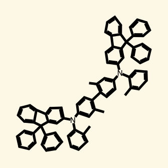 Cc1cc(N(c2ccc3c(c2)C(c2ccccc2)(c2ccccc2)c2ccccc2-3)c2ccccc2C)ccc1-c1ccc(N(c2ccc3c(c2)C(c2ccccc2)(c2ccccc2)c2ccccc2-3)c2ccccc2C)cc1C